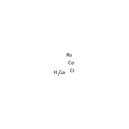 [Co].[Cr].[GaH3].[Ru]